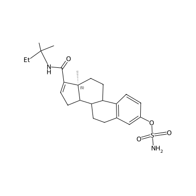 CCC(C)(C)NC(=O)C1=CCC2C3CCc4cc(OS(N)(=O)=O)ccc4C3CC[C@]12C